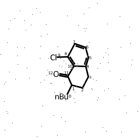 CCCCC1CCc2cccc(Cl)c2C1=O